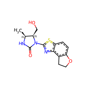 C[C@@H]1NC(=O)N(c2nc3c4c(ccc3s2)OCC4)[C@@H]1CO